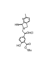 Cc1ccc2c(n1)C(=N)N(CC(=O)c1ccc(O)c(C(=O)OC(C)(C)C)c1)C2.Cl